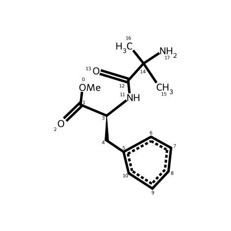 COC(=O)[C@H](Cc1ccccc1)NC(=O)C(C)(C)N